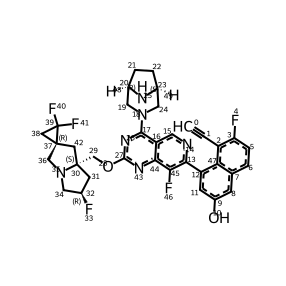 C#Cc1c(F)ccc2cc(O)cc(-c3ncc4c(N5C[C@H]6CC[C@@H](C5)N6)nc(OC[C@]56C[C@@H](F)CN5C[C@]5(CC5(F)F)C6)nc4c3F)c12